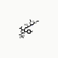 CCOC(=O)/C=C(/C[C@H](O)C=Cc1c(-c2ccc(F)cc2)nc(N(C)S(C)(=O)=O)nc1C(C)C)OCC